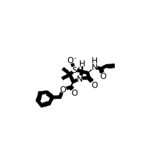 C=CC(=O)N[C@@H]1C(=O)N2[C@@H]1[S+]([O-])C(C)(C)[C@@H]2C(=O)OCc1ccccc1